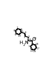 NN(CC=Cc1ccccc1)C(=O)c1ccccc1